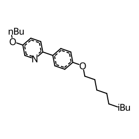 CCCCOc1ccc(-c2ccc(OCCCCCC(C)CC)cc2)nc1